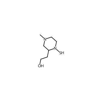 CN1CCN(S)C(CCO)C1